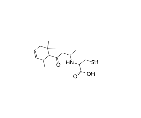 CC(CC(=O)C1C(C)C=CCC1(C)C)NC(CS)C(=O)O